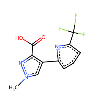 Cn1cc(-c2cccc(C(F)(F)F)n2)c(C(=O)O)n1